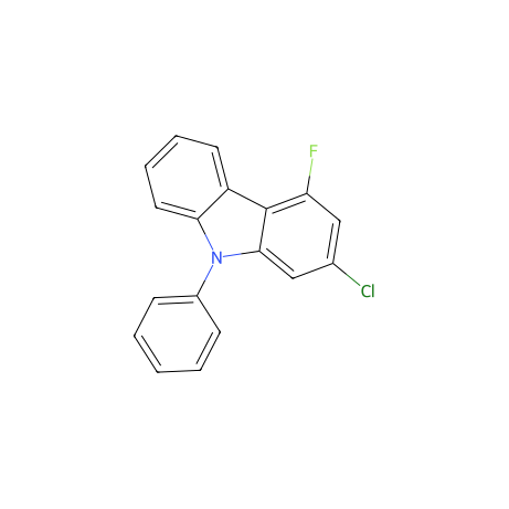 Fc1cc(Cl)cc2c1c1ccccc1n2-c1ccccc1